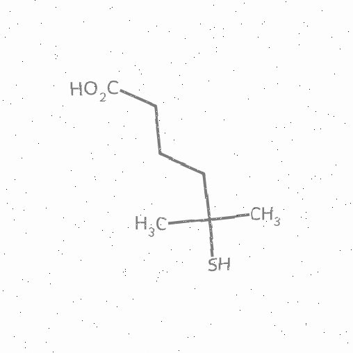 CC(C)(S)CCCC(=O)O